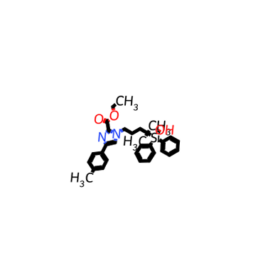 CCOC(=O)c1nc(-c2ccc(C)cc2)cn1CCCC(C)(C)[Si](O)(c1ccccc1)c1ccccc1